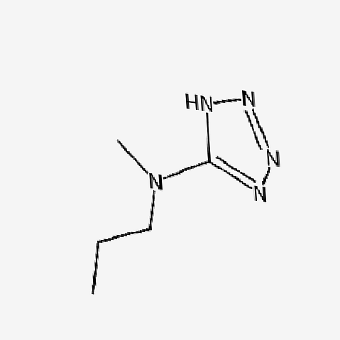 CCCN(C)c1nnn[nH]1